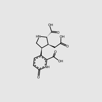 O=C(O)C[C@@H]1[C@@H](C(=O)O)NC[C@@H]1c1ccc(=O)[nH]c1C(=O)O